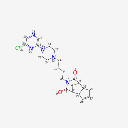 O=C1C2CC(C(=O)N1CCCCN1CCN(c3cncc(Cl)n3)CC1)C1CC=CC21